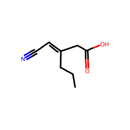 CCC/C(=C\C#N)CC(=O)O